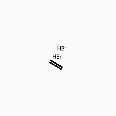 Br.Br.C=C